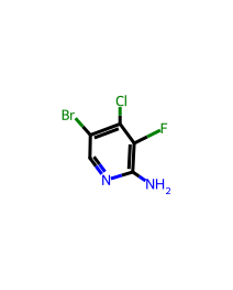 Nc1ncc(Br)c(Cl)c1F